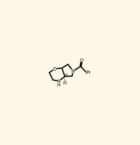 CC(C)C(=O)N1CC2OCCN[C@@H]2C1